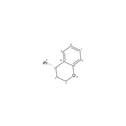 CC(C)[C@H]1CCOc2ccccc21